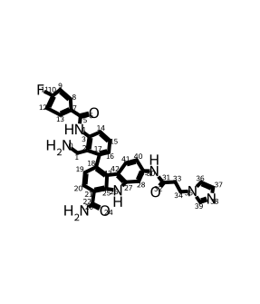 NCc1c(NC(=O)c2ccc(F)cc2)cccc1-c1ccc(C(N)=O)c2[nH]c3cc(NC(=O)CCn4ccnc4)ccc3c12